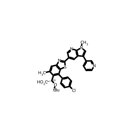 Cc1cc2nc(-c3cnc4c(c3)c(-c3cccnc3)cn4C)sc2c(-c2ccc(Cl)cc2)c1[C@H](OC(C)(C)C)C(=O)O